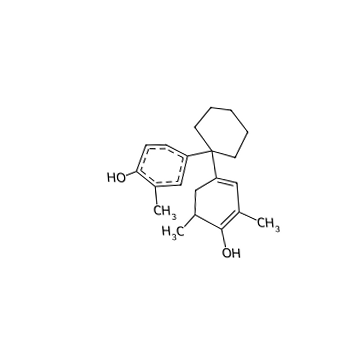 CC1=C(O)C(C)CC(C2(c3ccc(O)c(C)c3)CCCCC2)=C1